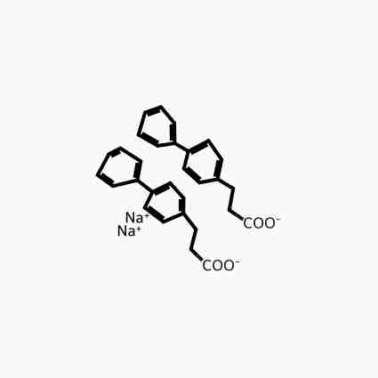 O=C([O-])CCc1ccc(-c2ccccc2)cc1.O=C([O-])CCc1ccc(-c2ccccc2)cc1.[Na+].[Na+]